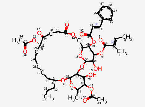 C/C=C(\C)C(=O)OC1C(O)C2OC(COC(=O)CCC(=O)[C@@H](OC(C)=O)CCCCC[C@H](CCC)OC3OC(C)C(OC(C)=O)C(O)C3O2)C1OC(=O)/C=C/c1ccccc1